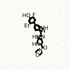 CCc1cc(O)c(F)cc1-c1ccc2c(-c3nc4c([nH]3)CNC(C(=O)N3CCOCC3)C4)n[nH]c2c1